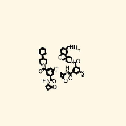 CSc1cc(C(=O)NC2CCC2=O)cc(C(=O)N2CCC3(CC2)COc2ccc(CN)cc23)c1.O=C(NC1CCC1=O)c1cc(Cl)cc(C(=O)N2CCC(c3ccccc3)CC2)c1